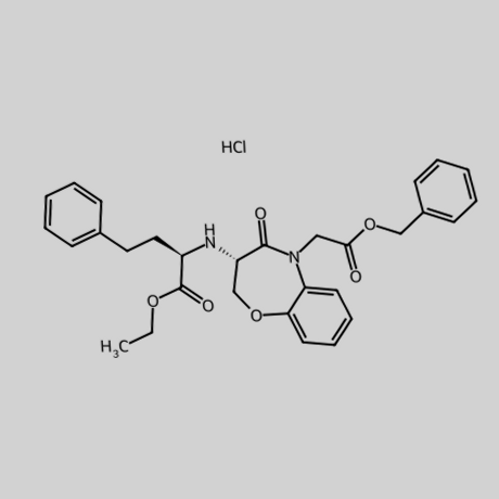 CCOC(=O)[C@@H](CCc1ccccc1)N[C@H]1COc2ccccc2N(CC(=O)OCc2ccccc2)C1=O.Cl